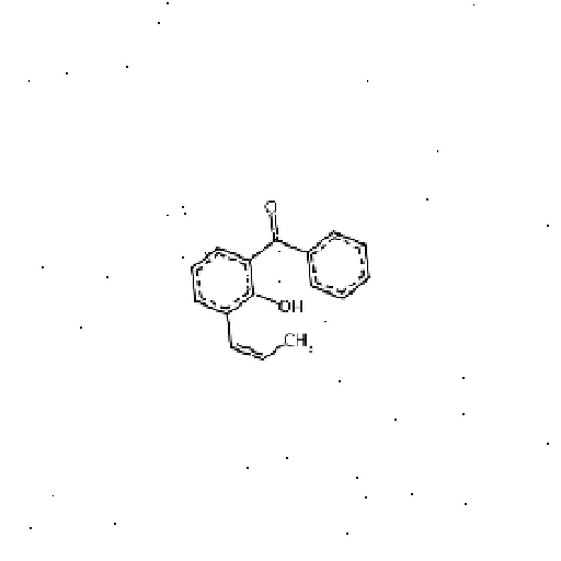 C/C=C\c1cccc(C(=O)c2ccccc2)c1O